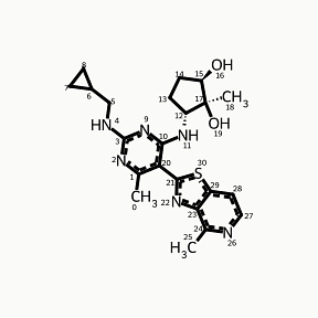 Cc1nc(NCC2CC2)nc(N[C@@H]2CC[C@@H](O)[C@@]2(C)O)c1-c1nc2c(C)nccc2s1